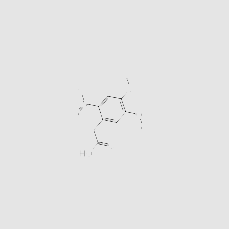 COc1cc([CH]C(=O)O)c([N+](=O)[O-])cc1OC